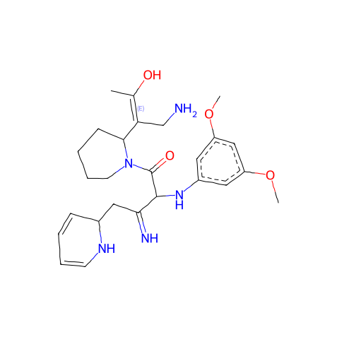 COc1cc(NC(C(=N)CC2C=CC=CN2)C(=O)N2CCCCC2/C(CN)=C(\C)O)cc(OC)c1